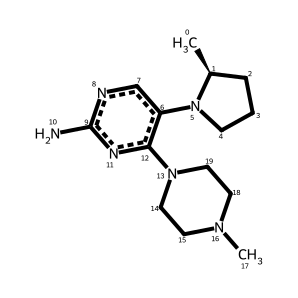 C[C@H]1CCCN1c1cnc(N)nc1N1CCN(C)CC1